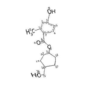 Cc1cc(O)ccc1C(=O)OC1CCC(CO)CC1